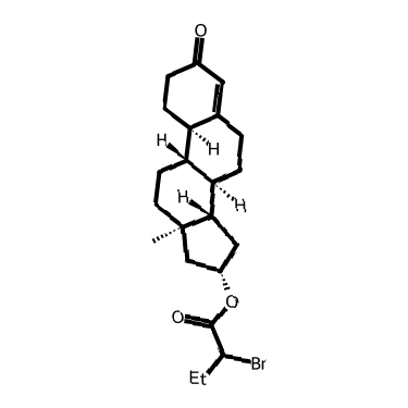 CCC(Br)C(=O)O[C@H]1C[C@H]2[C@@H]3CCC4=CC(=O)CC[C@@H]4[C@H]3CC[C@]2(C)C1